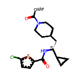 COC(=O)N1CCC(C[C@@H](NC(=O)c2ccc(Cl)s2)C2CC2)CC1